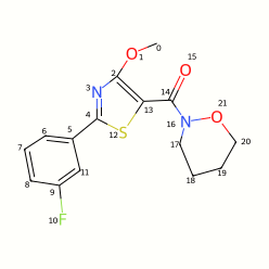 COc1nc(-c2cccc(F)c2)sc1C(=O)N1CCCCO1